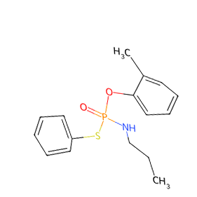 CCCNP(=O)(Oc1ccccc1C)Sc1ccccc1